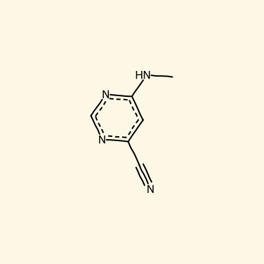 CNc1cc(C#N)ncn1